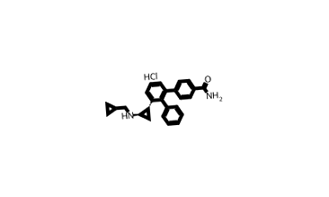 Cl.NC(=O)c1ccc(-c2cccc([C@@H]3C[C@H]3NCC3CC3)c2-c2ccccc2)cc1